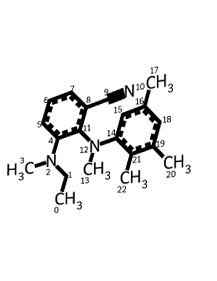 CCN(C)c1cccc(C#N)c1N(C)c1cc(C)cc(C)c1C